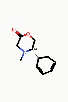 CN1CC(=O)OC[C@@H]1C1C=CC=CC1